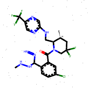 CNNC(N=N)c1ccc(Cl)cc1C(=O)N1CC(F)(F)C[C@@H](C)C1CNc1cnc(C(F)(F)F)cn1